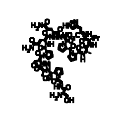 CC(C)[C@H](NC(=O)[C@H](C)NC(=O)[C@@H]1CCCN1C(=O)[C@@H]1CCCN1C(=O)[C@H](C)NC(=O)[C@H](CCC(N)=O)NC(=O)[C@H](CCC(N)=O)NC(=O)[C@@H]1CCCN1C(=O)[C@H](CO)NC(=O)[C@H](CO)NC(=O)[C@@H]1CCCN1C(=O)CNC(=O)[C@@H](N)CO)C(=O)N[C@@H](Cc1c[nH]cn1)C(=O)O